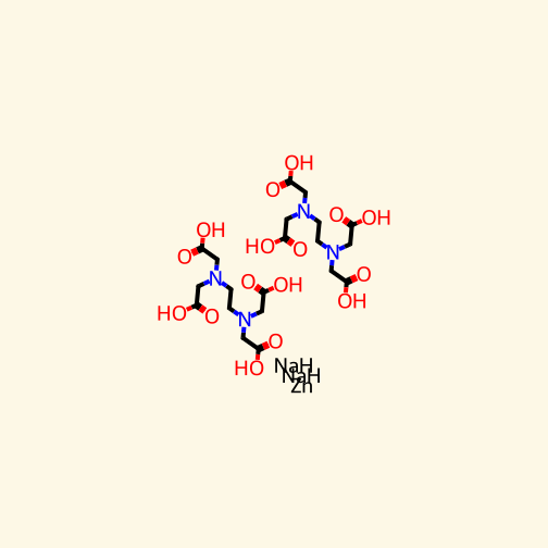 O=C(O)CN(CCN(CC(=O)O)CC(=O)O)CC(=O)O.O=C(O)CN(CCN(CC(=O)O)CC(=O)O)CC(=O)O.[NaH].[NaH].[Zn]